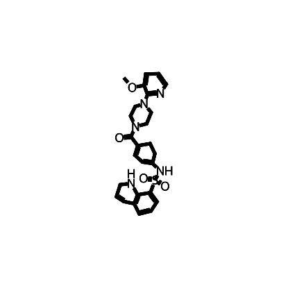 COc1cccnc1N1CCN(C(=O)C2=CC=C(NS(=O)(=O)c3cccc4c3NCC=C4)CC2)CC1